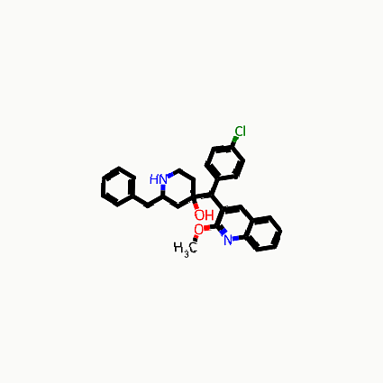 COc1nc2ccccc2cc1C(c1ccc(Cl)cc1)C1(O)CCNC(Cc2ccccc2)C1